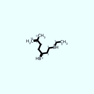 B=C(CCBCC)CCC(=C)C